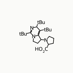 CC(C)(C)C1=NC(C(C)(C)C)C(C(C)(C)C)=C2C(N3CCCC3C(=O)O)CCN12